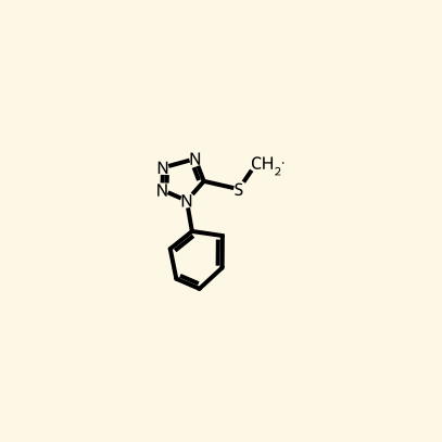 [CH2]Sc1nnnn1-c1ccccc1